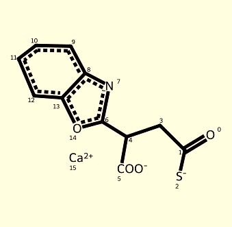 O=C([S-])CC(C(=O)[O-])c1nc2ccccc2o1.[Ca+2]